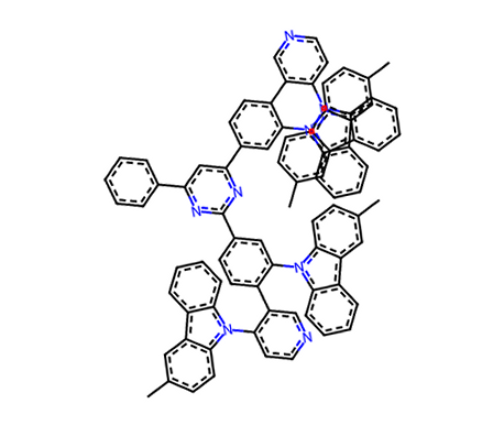 Cc1ccc2c(c1)c1ccccc1n2-c1ccncc1-c1ccc(-c2cc(-c3ccccc3)nc(-c3ccc(-c4cnccc4-n4c5ccccc5c5cc(C)ccc54)c(-n4c5ccccc5c5cc(C)ccc54)c3)n2)cc1-n1c2ccccc2c2cc(C)ccc21